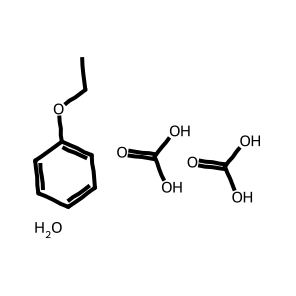 CCOc1ccccc1.O.O=C(O)O.O=C(O)O